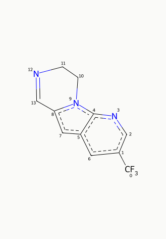 FC(F)(F)c1cnc2c(c1)cc1n2CCN=C1